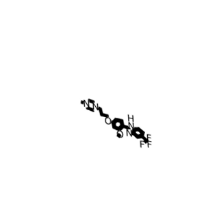 COc1cc(OCCCN2CCN(C)CC2)ccc1-c1nc2cc(C(F)(F)F)ccc2[nH]1